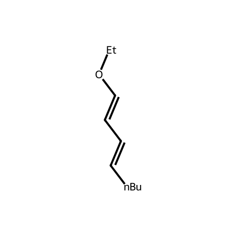 CCCCC=CC=COCC